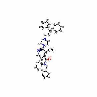 Cc1c(C(=O)N(Cc2ccccc2)C2CCCCC2)ccnc1N1CCN(CCC(c2ccccc2)c2ccccc2)CC1